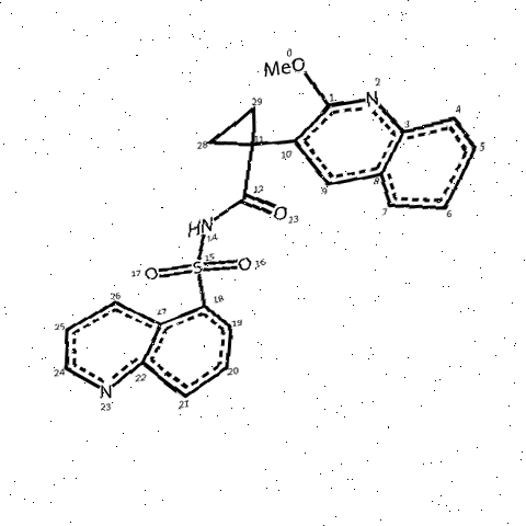 COc1nc2ccccc2cc1C1(C(=O)NS(=O)(=O)c2cccc3ncccc23)CC1